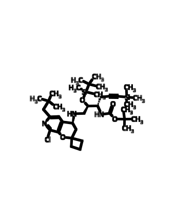 CC(C)(C)Cc1cc2c(c(Cl)n1)OC1(CCC1)C[C@@H]2NC[C@@H](O[Si](C)(C)C(C)(C)C)[C@H](CC#C[Si](C)(C)C)NC(=O)OC(C)(C)C